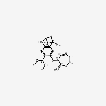 COC(OC)c1nc2c(cc1CN1C=CC=COC1=O)C1(F)CC(C1)N2